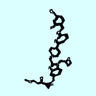 COCCC(=O)C1C[C@@H]1Cc1ccc2c(c1)nc(CN1CCC(c3cccc(OCc4ccc(Cl)cc4F)n3)CC1)n2CC1CCO1